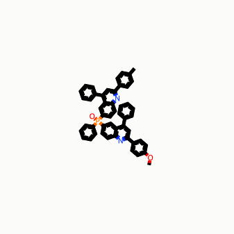 COc1ccc(-c2cc(-c3ccccc3)c3cc(P(=O)(c4ccccc4)c4ccc5nc(-c6ccc(C)cc6)cc(-c6ccccc6)c5c4)ccc3n2)cc1